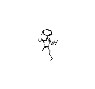 CCCCc1[nH]n(-c2ccccc2C)c(=O)c1C